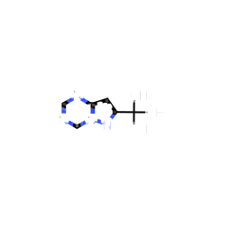 CC(C)(C)c1cc2ncncn2n1